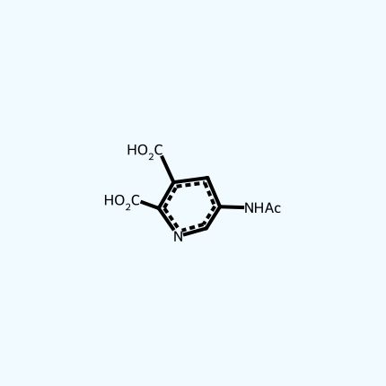 CC(=O)Nc1cnc(C(=O)O)c(C(=O)O)c1